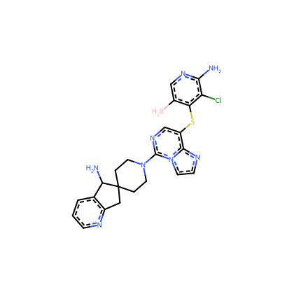 Bc1cnc(N)c(Cl)c1Sc1cnc(N2CCC3(CC2)Cc2ncccc2C3N)n2ccnc12